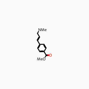 CNCC=Cc1ccc(C(=O)OC)cc1